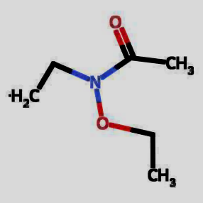 [CH2]CN(OCC)C(C)=O